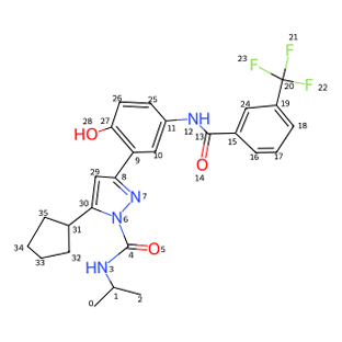 CC(C)NC(=O)n1nc(-c2cc(NC(=O)c3cccc(C(F)(F)F)c3)ccc2O)cc1C1CCCC1